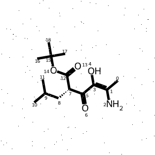 CC(N)=C(O)C(=O)[C@H](CC(C)C)C(=O)OC(C)(C)C